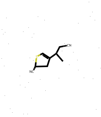 CC(CC#N)C1=CSC(C#N)C1